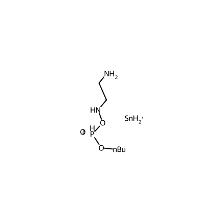 CCCCO[PH](=O)ONCCN.[SnH2]